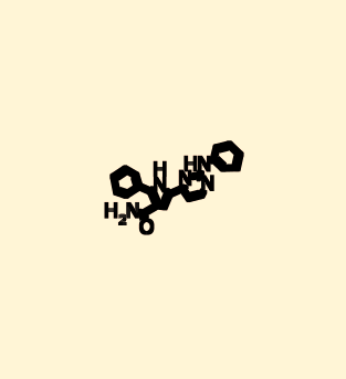 NC(=O)c1cc(-c2ccnc(Nc3ccccc3)n2)[nH]c1-c1ccccc1